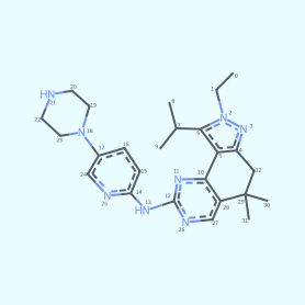 CCn1nc2c(c1C(C)C)-c1nc(Nc3ccc(N4CCNCC4)cn3)ncc1C(C)(C)C2